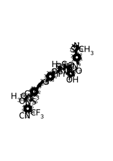 CCCC1[C@H](O)C[C@@H](C(=O)NCc2ccc(-c3scnc3C)cc2)N1C(=O)C(C)NC(=O)COc1ccc(OCC#Cc2ccc(N3C(=S)N(c4ccc(C#N)c(C(F)(F)F)c4)C(=O)C3(C)C)cc2)cc1